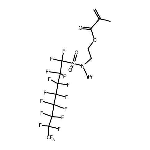 C=C(C)C(=O)OCCN(C(C)C)S(=O)(=O)C(F)(F)C(F)(F)C(F)(F)C(F)(F)C(F)(F)C(F)(F)C(F)(F)C(F)(F)F